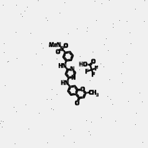 CNS(=O)(=O)c1cccc(Nc2cc(Nc3ccc4c(=O)cc(C)oc4c3)ncn2)c1.O=C(O)C(F)(F)F